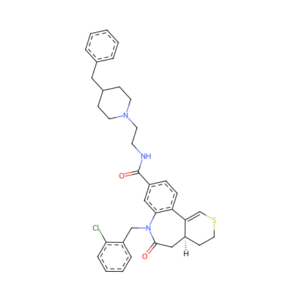 O=C(NCCN1CCC(Cc2ccccc2)CC1)c1ccc2c(c1)N(Cc1ccccc1Cl)C(=O)C[C@@H]1CCSC=C21